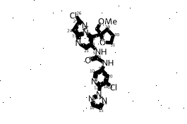 COCC1(c2c(NC(=O)Nc3cnc(-n4nccn4)c(Cl)c3)cnc3cc(Cl)nn23)CCCO1